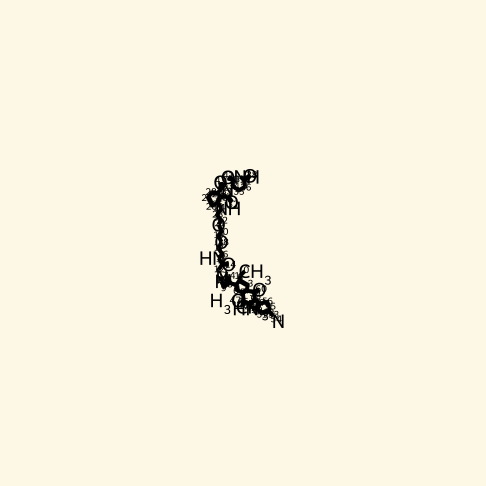 CCc1cc2c(cc1-c1cnn(CC(=O)NCCOCCOCCNc3cccc4c3C(=O)N(C3CCC(=O)NC3=O)C4=O)c1)C(C)(C)c1[nH]c3cc(C#N)ccc3c1C2=O